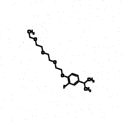 CCOCCOCCOCCOc1ccc(C(C)C)cc1F